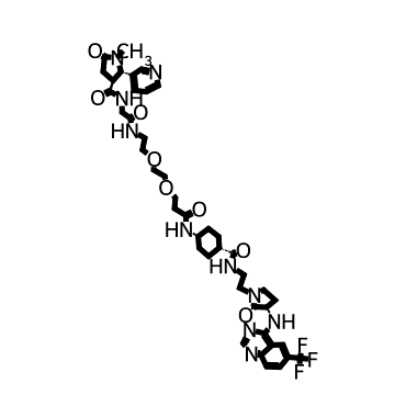 CN1C(=O)C[C@H](C(=O)NCC(=O)NCCOCCOCCC(=O)N[C@H]2CC[C@@H](C(=O)NCCN3CC[C@H](Nc4ncnc5ccc(C(F)(F)F)cc45)C3=O)CC2)[C@H]1c1cccnc1